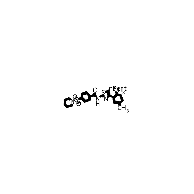 CCCCCc1sc(NC(=O)c2ccc(S(=O)(=O)N3CCCCC3)cc2)nc1-c1cc(C)ccc1C